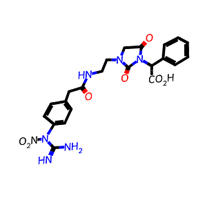 N=C(N)N(c1ccc(CC(=O)NCCN2CC(=O)N(C(C(=O)O)c3ccccc3)C2=O)cc1)[N+](=O)[O-]